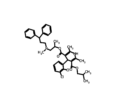 CC1=C(C(=O)OCC(C)C)C(c2cccc(Cl)c2Cl)C(C(=O)OC(C)CN(C)CCC(c2ccccc2)c2ccccc2)=C(C)N1